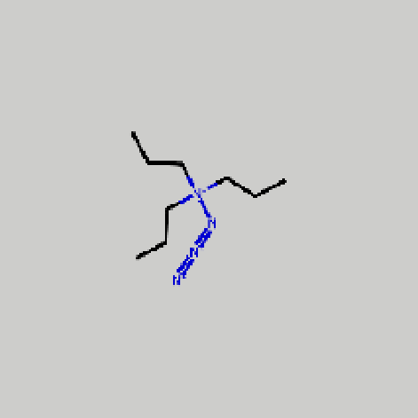 CCC[N+](CCC)(CCC)N=[N+]=[N-]